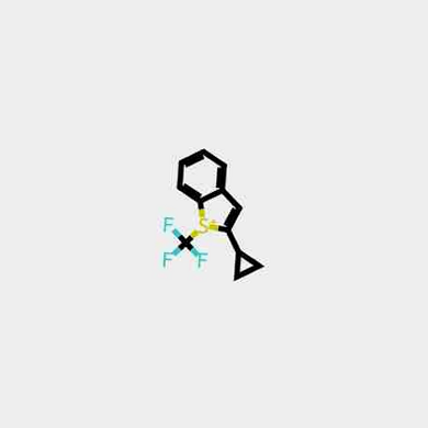 FC(F)(F)[s+]1c(C2CC2)cc2ccccc21